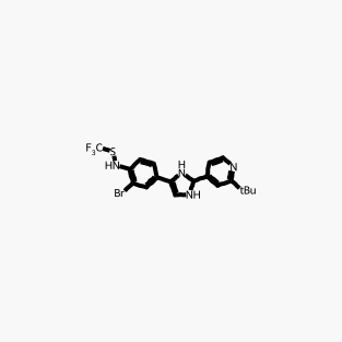 CC(C)(C)c1cc(C2NC=C(c3ccc(NSC(F)(F)F)c(Br)c3)N2)ccn1